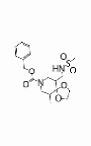 CC1CN(C(=O)OCc2ccccc2)CC(CNS(C)(=O)=O)C12OCCO2